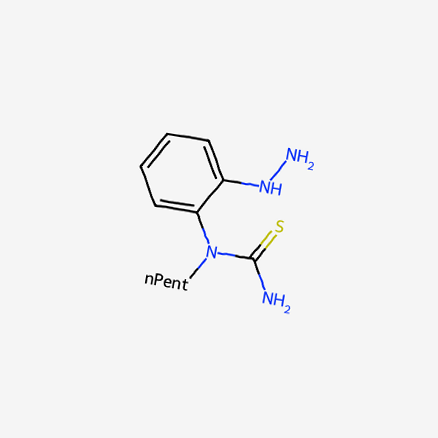 CCCCCN(C(N)=S)c1ccccc1NN